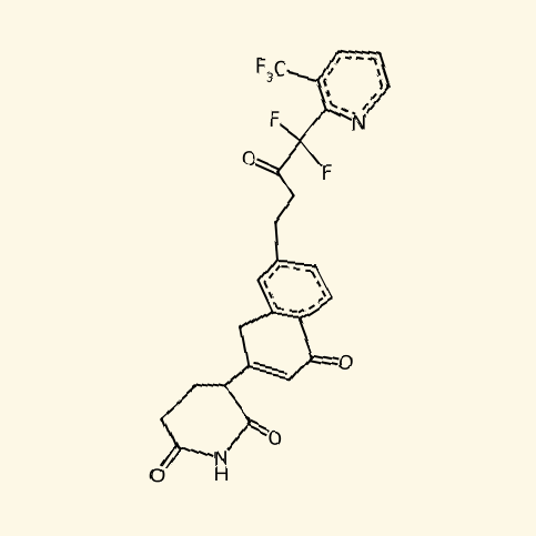 O=C1CCC(C2=CC(=O)c3ccc(CCC(=O)C(F)(F)c4ncccc4C(F)(F)F)cc3C2)C(=O)N1